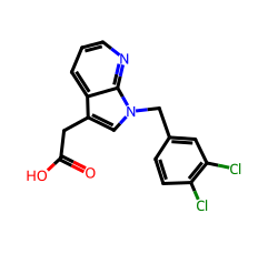 O=C(O)Cc1cn(Cc2ccc(Cl)c(Cl)c2)c2ncccc12